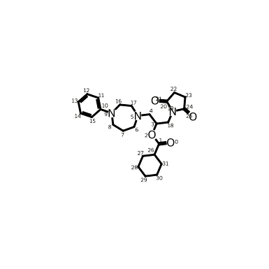 O=C(OC(CN1CCCN(c2ccccc2)CC1)CN1C(=O)CCC1=O)C1CCCCC1